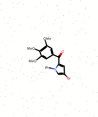 COc1cc(C(=O)c2cc(Br)cn2C(C)C)cc(OC)c1OC